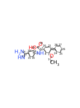 CCOc1cc(C(Nc2ccc(C(=N)N)cc2)C(=O)O)ccc1-c1ccccc1